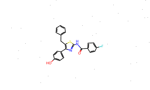 O=C(Nc1nc(-c2ccc(O)cc2)c(Cc2ccccc2)s1)c1ccc(F)cc1